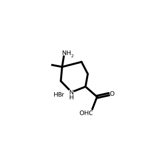 Br.CC1(N)CCC(C(=O)C=O)NC1